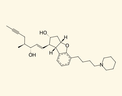 CC#CC[C@H](C)[C@@H](O)/C=C/[C@@H]1[C@H]2c3cccc(CCCCN4CCCCC4)c3O[C@H]2C[C@H]1O